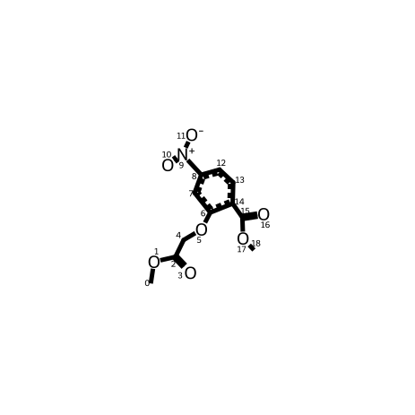 COC(=O)COc1cc([N+](=O)[O-])ccc1C(=O)OC